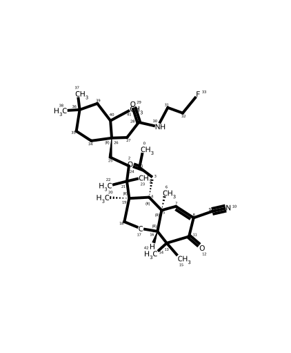 CC(=O)C[C@@H]1[C@@]2(C)C=C(C#N)C(=O)C(C)(C)[C@@H]2CC[C@@]1(C)C(C)(C)CC[C@@]1(CC(=O)NCCF)CCC(C)(C)CC1C